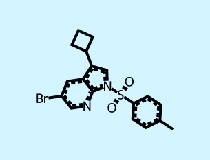 Cc1ccc(S(=O)(=O)n2cc(C3CCC3)c3cc(Br)cnc32)cc1